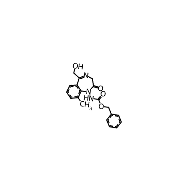 Cc1cccc2c1N(NC(=O)OCc1ccccc1)C(=O)CN=C2CO